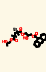 CCC(C)(CC(C)(C)C(=O)OCC(C)O)C(=O)OCC(O)COC(=O)c1c2ccccc2cc2ccccc12